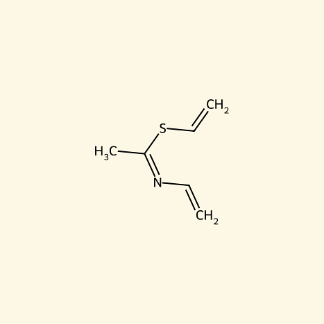 C=C/N=C(/C)SC=C